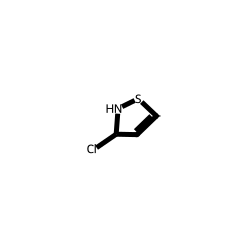 ClC1C=[C]SN1